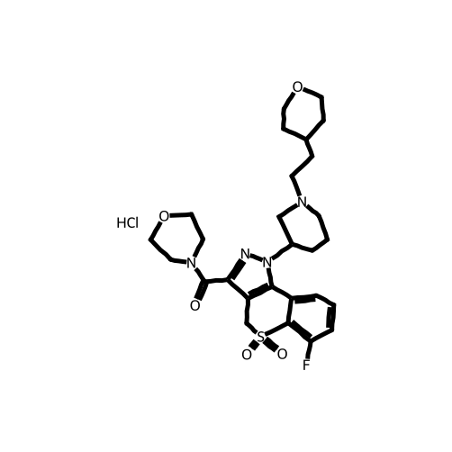 Cl.O=C(c1nn(C2CCCN(CCC3CCOCC3)C2)c2c1CS(=O)(=O)c1c(F)cccc1-2)N1CCOCC1